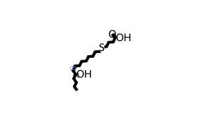 CCCC[C@@H](O)/C=C\CCCCCCCSCCCC(=O)O